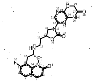 CCn1c(=O)ccc2ccc(F)c(CCNCCC3CN(c4cnc5c(n4)NC(=O)CO5)C(=O)O3)c21